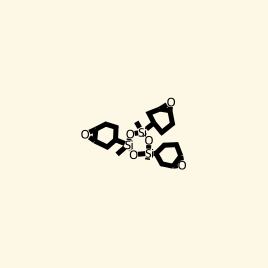 C[Si]1(C2CCC3OC3C2)O[Si](C)(C2CCC3OC3C2)O[Si](C)(C2CCC3OC3C2)O1